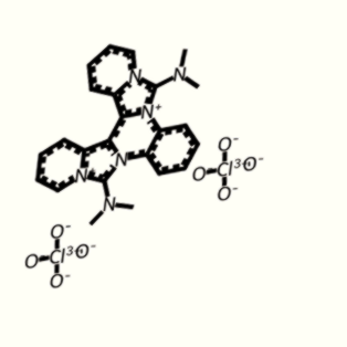 CN(C)c1n2c3ccccc3[n+]3c(N(C)C)n4ccccc4c3c2c2cccc[n+]12.[O-][Cl+3]([O-])([O-])[O-].[O-][Cl+3]([O-])([O-])[O-]